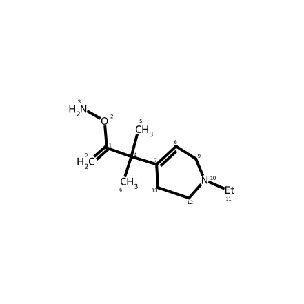 C=C(ON)C(C)(C)C1=CCN(CC)CC1